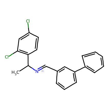 CC(/N=C/c1cccc(-c2ccccc2)c1)c1ccc(Cl)cc1Cl